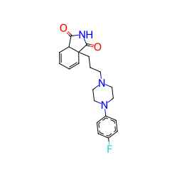 O=C1NC(=O)C2(CCCN3CCN(c4ccc(F)cc4)CC3)C=CC=CC12